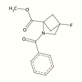 COC(=O)C12CC(F)(CN1C(=O)c1ccccc1)C2